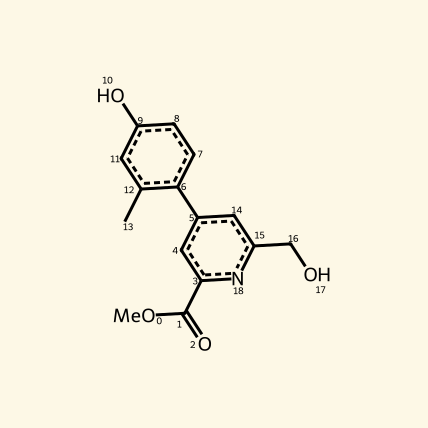 COC(=O)c1cc(-c2ccc(O)cc2C)cc(CO)n1